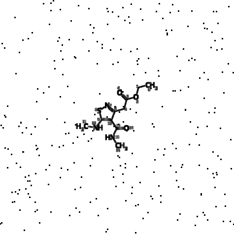 CCOC(=O)Cc1nsc(NC)c1C(=O)NC